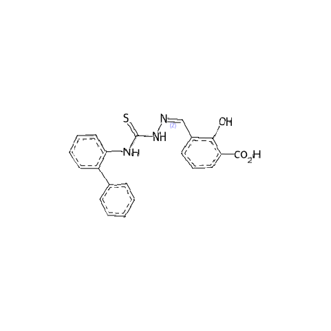 O=C(O)c1cccc(/C=N\NC(=S)Nc2ccccc2-c2ccccc2)c1O